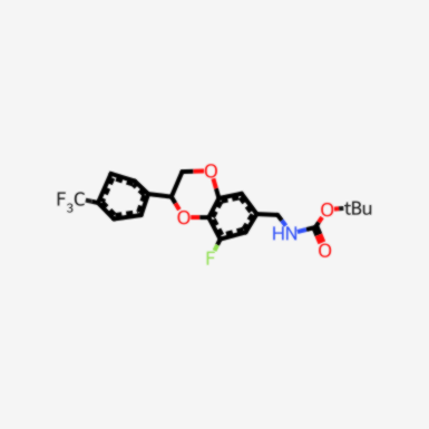 CC(C)(C)OC(=O)NCc1cc(F)c2c(c1)OCC(c1ccc(C(F)(F)F)cc1)O2